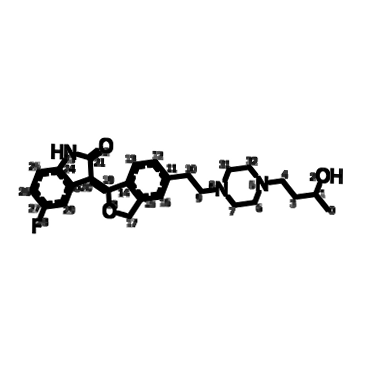 CC(O)CCN1CCN(CCc2ccc3c(c2)CO/C3=C2/C(=O)Nc3ccc(F)cc32)CC1